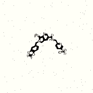 CCS(=O)(=O)c1ccc(CNC(=O)c2cnc3c(c2)CN(Cc2ccc4c(c2)OC(F)(F)O4)C3C(C)C)nc1